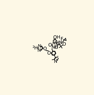 [2H]c1ncc(OCCOc2cc(-c3scnc3C)ccc2CNC(=O)[C@@H]2C[C@@H](O)CN2C(=O)[C@@H](NC(=O)C2(F)CC2)C(C)(C)C)cn1